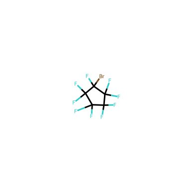 FC1(F)C(F)(F)C(F)(F)C(F)(Br)C1(F)F